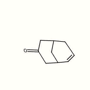 O=C1CC2C=CCC(C1)C2